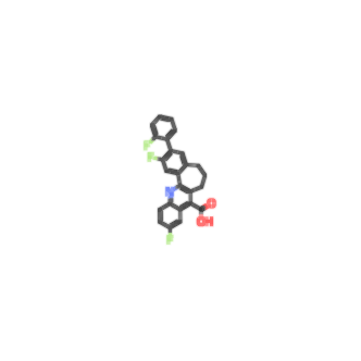 O=C(O)c1c2c(nc3ccc(F)cc13)-c1cc(F)c(-c3ccccc3F)cc1CCC2